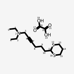 CCN(CC)CC#CCCCC1SCCCS1.O=C(O)C(=O)O